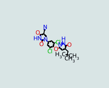 CC(C)(C)Cc1cc(Oc2c(Cl)cc(-n3cc(C#N)c(=O)[nH]c3=O)cc2Cl)n[nH]c1=O